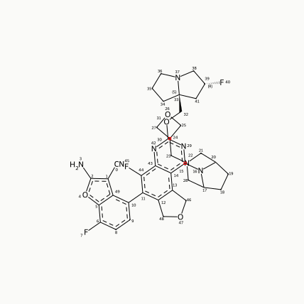 N#Cc1c(N)oc2c(F)ccc(-c3c4c(c5c(N6C7CCC6CN(CC6COC6)C7)nc(OC[C@@]67CCCN6C[C@H](F)C7)nc5c3F)COC4)c12